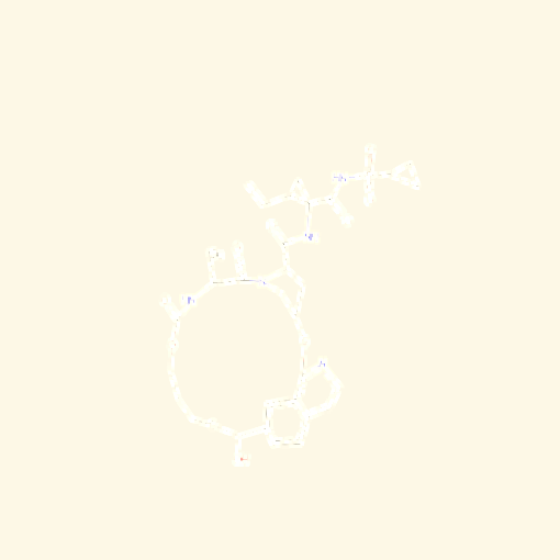 C=CC1CC1(NC(=O)C1CC2CN1C(=O)C(C(C)(C)C)NC(=O)OCCCCC(O)c1ccc3ccnc(c3c1)O2)C(=O)NS(=O)(=O)C1CC1